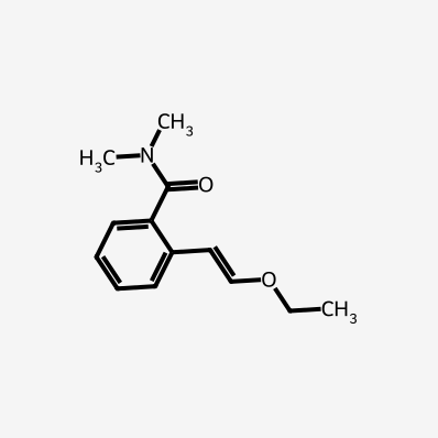 CCOC=Cc1ccccc1C(=O)N(C)C